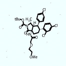 COCCOCC(=O)N[C@@]12CC[C@@H](c3ccc(Cl)cc3Cl)[C@H](c3ccc(Cl)cc3)[C@@H]1[C@@H](C)N(C(=O)OC(C)(C)C)C2=O